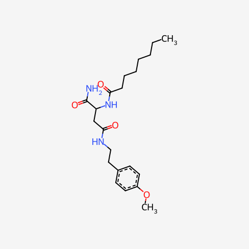 CCCCCCCC(=O)NC(CC(=O)NCCc1ccc(OC)cc1)C(N)=O